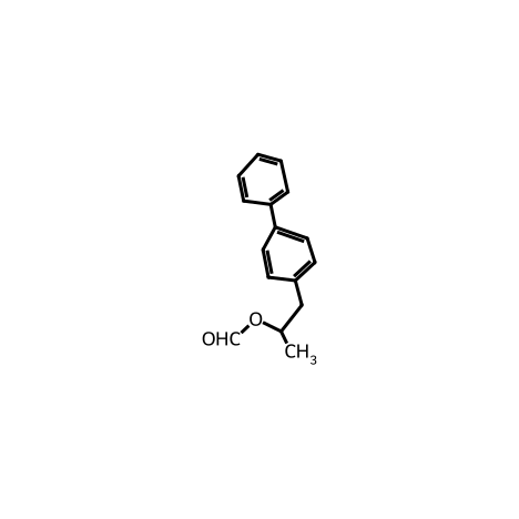 CC(Cc1ccc(-c2ccccc2)cc1)OC=O